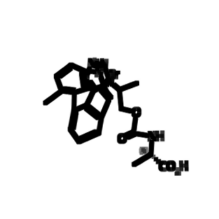 Cc1ccc2[nH]c3c(Br)c2c1-c1cccc-3c1-c1nnnn1C(C)COC(=O)N[C@@H](C)C(=O)O